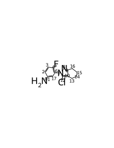 Nc1ccc(F)c(-n2nc3c(c2Cl)CCCC3)c1